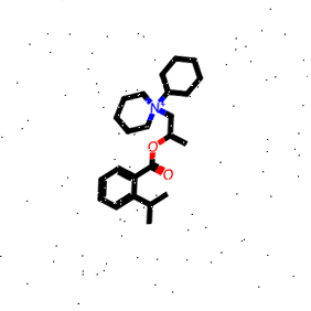 CC(C[N+]1(C2CCCCC2)CCCCC1)OC(=O)c1ccccc1C(C)C